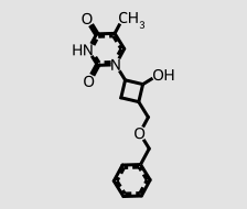 Cc1cn(C2CC(COCc3ccccc3)C2O)c(=O)[nH]c1=O